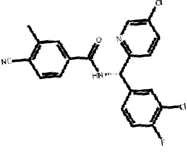 Cc1cc(C(=O)N[C@@H](c2ccc(F)c(Cl)c2)c2ccc(Cl)cn2)ccc1C#N